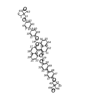 CCC1(COc2ccc(-c3ccc(OCOc4ccc5ccccc5c4-c4c(OCOc5ccc(-c6ccc(OCC7(CC)COC7)cc6)cc5)ccc5ccccc45)cc3)cc2)COC1